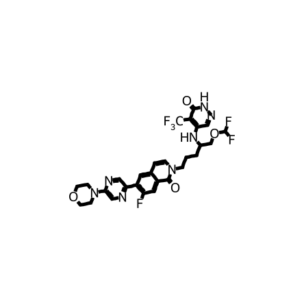 O=c1[nH]ncc(NC(CCCn2ccc3cc(-c4cnc(N5CCOCC5)cn4)c(F)cc3c2=O)COC(F)F)c1C(F)(F)F